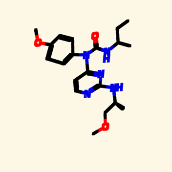 CCC(C)NC(=O)N(c1ccc(OC)cc1)c1ccnc(N[C@@H](C)COC)n1